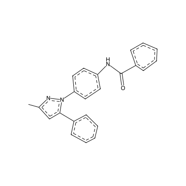 Cc1cc(-c2ccccc2)n(-c2ccc(NC(=O)c3ccccc3)cc2)n1